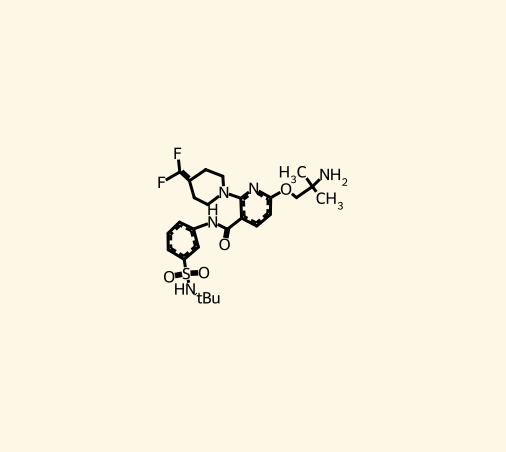 CC(C)(N)COc1ccc(C(=O)Nc2cccc(S(=O)(=O)NC(C)(C)C)c2)c(N2CCC(=C(F)F)CC2)n1